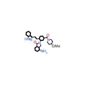 COC1CCN(C(=O)c2ccc(/C=C/c3n[nH]c4ccccc34)c(N3Cc4c(N)cccc4C3=O)c2)CC1